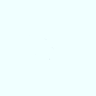 CCCc1nc(O)c(Br)c(C2CC2)n1